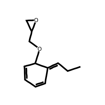 CCC=C1C=CC=CC1OCC1CO1